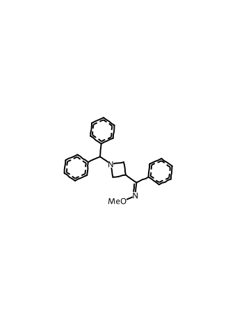 CON=C(c1ccccc1)C1CN(C(c2ccccc2)c2ccccc2)C1